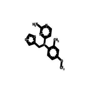 Cc1cc(OC(F)(F)F)ccc1N(Cc1cocn1)c1ccnc(N)n1